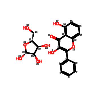 O=c1c(O)c(-c2ccccc2)oc2cccc(O)c12.OC[C@H]1O[C@@H](O)[C@H](O)[C@@H]1O